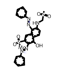 CS(=O)(=O)CNc1ccc2c(O)c(/N=N/c3ccccc3)c([S](=O)(=O)[Mo])cc2c1/N=N/c1ccccc1